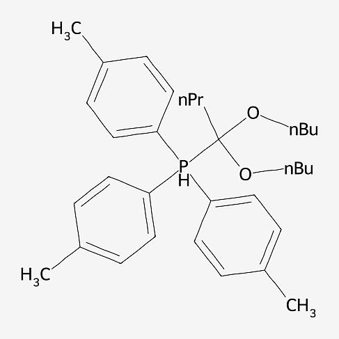 [CH2]CCC(OCCCC)(OCCCC)[PH](c1ccc(C)cc1)(c1ccc(C)cc1)c1ccc(C)cc1